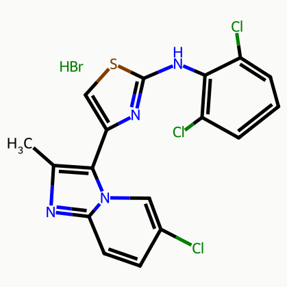 Br.Cc1nc2ccc(Cl)cn2c1-c1csc(Nc2c(Cl)cccc2Cl)n1